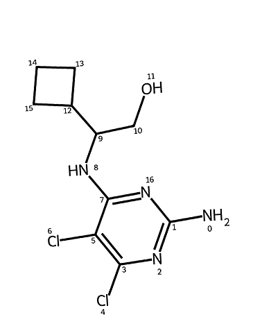 Nc1nc(Cl)c(Cl)c(NC(CO)C2CCC2)n1